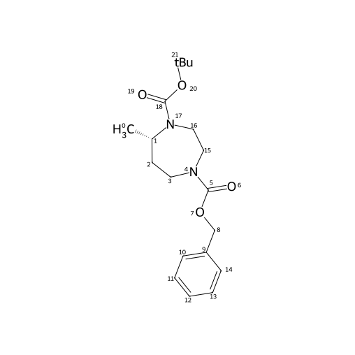 C[C@H]1CCN(C(=O)OCc2ccccc2)CCN1C(=O)OC(C)(C)C